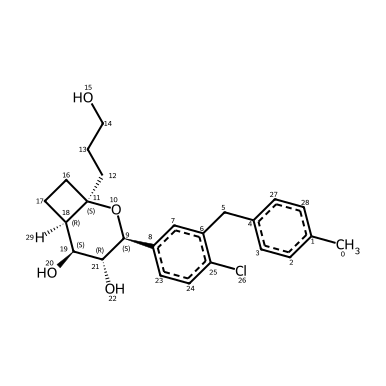 Cc1ccc(Cc2cc([C@@H]3O[C@]4(CCCO)CC[C@@H]4[C@H](O)[C@H]3O)ccc2Cl)cc1